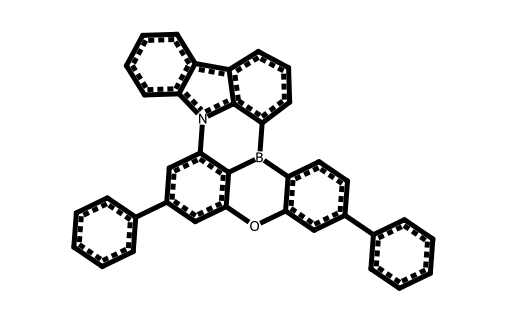 c1ccc(-c2ccc3c(c2)Oc2cc(-c4ccccc4)cc4c2B3c2cccc3c5ccccc5n-4c23)cc1